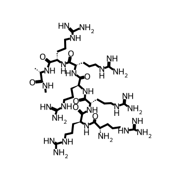 CNC(=O)[C@H](C)NC(=O)[C@H](CCCNC(=N)N)NC(=O)[C@H](CCCNC(=N)N)NC(=O)[C@H](CCCNC(=N)N)NC(=O)[C@H](CCCNC(=N)N)NC(=O)[C@H](CCCNC(=N)N)NC(=O)[C@@H](N)CCCNC(=N)N